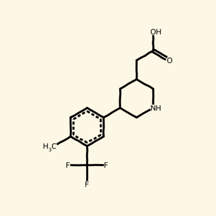 Cc1ccc(C2CNCC(CC(=O)O)C2)cc1C(F)(F)F